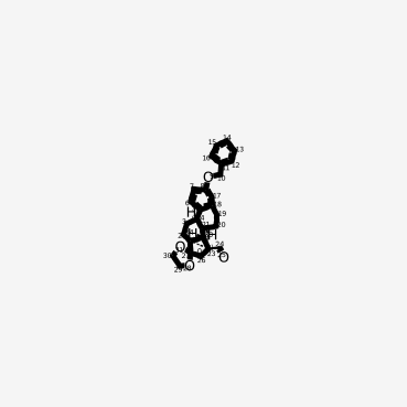 C[C@]12CC[C@@H]3c4ccc(OCc5ccccc5)cc4CC[C@H]3[C@@H]1[C@@H](C=O)CC21OCCO1